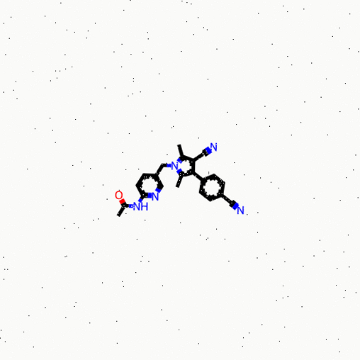 CC(=O)Nc1ccc(Cn2c(C)c(C#N)c(-c3ccc(C#N)cc3)c2C)cn1